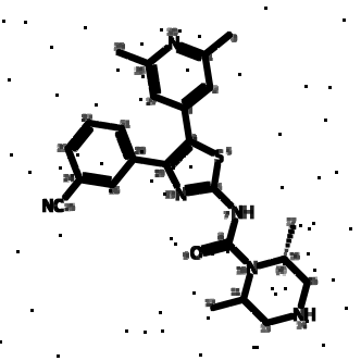 Cc1cc(-c2sc(NC(=O)N3C(C)CNC[C@H]3C)nc2-c2cccc(C#N)c2)cc(C)n1